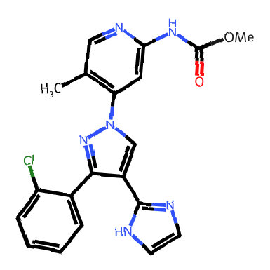 COC(=O)Nc1cc(-n2cc(-c3ncc[nH]3)c(-c3ccccc3Cl)n2)c(C)cn1